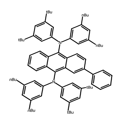 CCCCc1cc(CCCC)cc(N(c2cc(C(C)(C)C)cc(C(C)(C)C)c2)c2c3ccccc3c(N(c3cc(CCCC)cc(CCCC)c3)c3cc(C(C)(C)C)cc(C(C)(C)C)c3)c3cc(-c4ccccc4)ccc23)c1